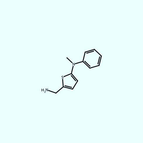 CN(c1ccccc1)c1ccc(CN)s1